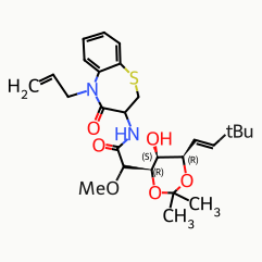 C=CCN1C(=O)C(NC(=O)C(OC)[C@@H]2OC(C)(C)O[C@H](C=CC(C)(C)C)[C@@H]2O)CSc2ccccc21